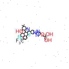 CC1(C)Cc2nc(C3CCN(c4ncc(OCC(C)(CO)CO)cn4)CC3)c(C(F)c3ccc(C(F)(F)F)cc3)c(C3CCC(F)(F)CC3)c2C(O)C1